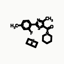 C1CN2CCC12.Cc1ccc(-c2nc(C)c(C(=O)N3CCCCC3)s2)c(F)c1